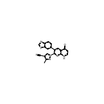 Cc1nn(-c2nc3[nH]ccc(=O)c3cc2-c2ccc3ncsc3c2)cc1C#N